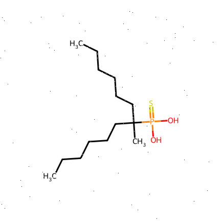 CCCCCCC(C)(CCCCCC)P(O)(O)=S